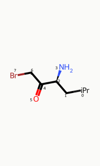 CC(C)C[C@H](N)C(=O)[CH]Br